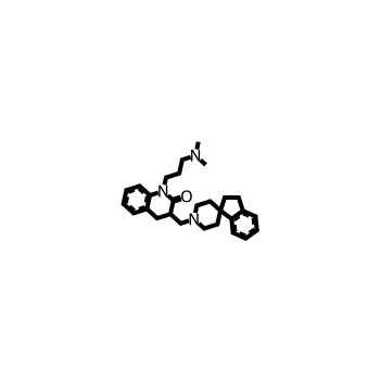 CN(C)CCCN1C(=O)C(CN2CCC3(CCc4ccccc43)CC2)Cc2ccccc21